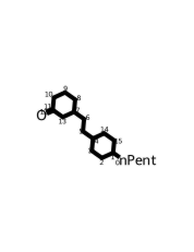 CCCCCC1CCC(CCC2CCCC(=O)C2)CC1